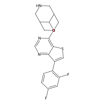 Fc1ccc(-c2csc3c(OC4C5CNCC4COC5)ncnc23)c(F)c1